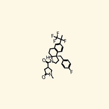 CN1CC(C(=O)N2CC[C@@]3(Cc4ccc(F)cc4)c4ccc(C(C)(F)C(F)(F)F)cc4CC[C@@H]23)CC1=O